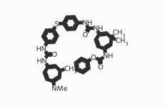 CNC1=CC(C)C=C(NC(=O)Nc2ccc(Sc3ccc(NC(=O)NC4=CC(C)(C)C=C(NC(=O)Oc5ccccc5)C=C4)cc3)cc2)C=C1